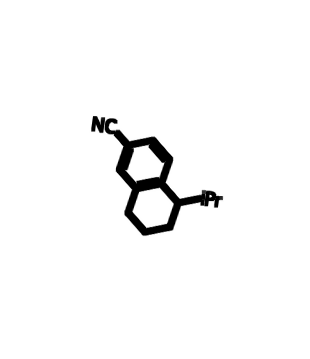 CC(C)C1CCCc2cc(C#N)ccc21